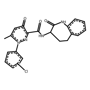 Cc1cc(=O)c(C(=O)NC2CCc3ccccc3NC2=O)nn1-c1cccc(Cl)c1